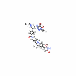 Cc1c(N2CCC3(CCN(C(=O)c4ccc([C@H]5C[C@@H](Nc6cnn(C)c(=O)c6Br)CN(C)C5)cc4)CC3)CC2)ccc(C2CCC(=O)NC2=O)c1F